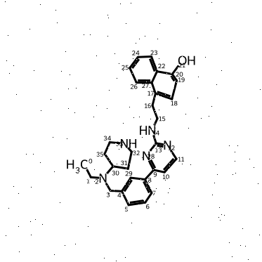 CCN(Cc1cccc(-c2ccnc(NCCc3ccc(O)c4ccccc34)n2)c1)C1CCNCC1